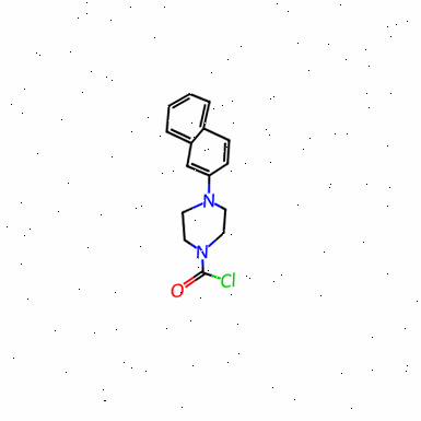 O=C(Cl)N1CCN(c2ccc3ccccc3c2)CC1